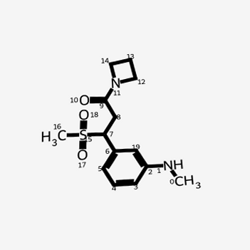 CNc1cccc(C(CC(=O)N2CCC2)S(C)(=O)=O)c1